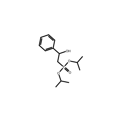 CC(C)OP(=O)(CC(O)c1ccccc1)OC(C)C